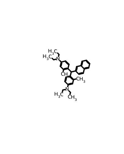 CCN(CC)c1ccc(C(c2ccc3ccccc3c2)c2ccc(N(CC)CC)cc2C)c(C)c1